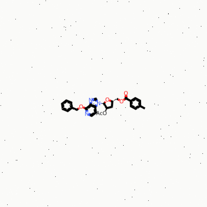 CC(=O)O[C@@H]1C[C@@H](COC(=O)c2ccc(C)cc2)O[C@H]1n1cnc2c(OCc3ccccc3)nccc21